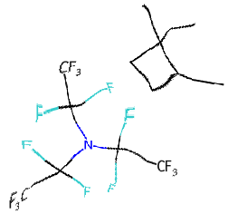 CC1CCC1(C)C.FC(F)(F)C(F)(F)N(C(F)(F)C(F)(F)F)C(F)(F)C(F)(F)F